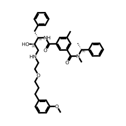 COc1cccc(CCCOCCNC[C@@H](O)[C@H](Cc2ccccc2)NC(=O)c2cc(C)cc(C(=O)N(C)[C@H](C)c3ccccc3)c2)c1